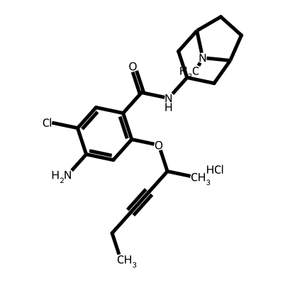 CCC#CC(C)Oc1cc(N)c(Cl)cc1C(=O)NC1CC2CCC(C1)N2C.Cl